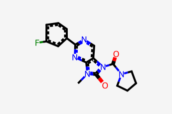 Cn1c(=O)n(C(=O)N2CCCC2)c2cnc(-c3cccc(F)c3)nc21